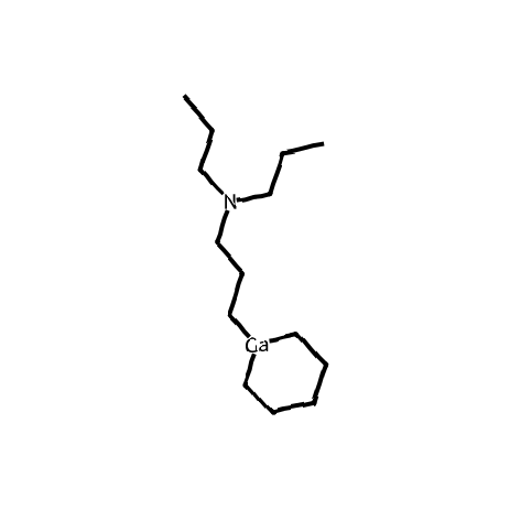 CCCN(CCC)CC[CH2][Ga]1[CH2]CCC[CH2]1